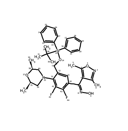 Cc1noc(C)c1/C(=N\O)c1cc(CO[Si](c2ccccc2)(c2ccccc2)C(C)(C)C)c(N2C[C@@H](C)O[C@@H](C)C2)c(F)c1F